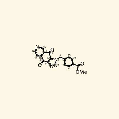 COC(=O)c1ccc(Cn2nnc3c2C(=O)c2cnccc2C3=O)cc1